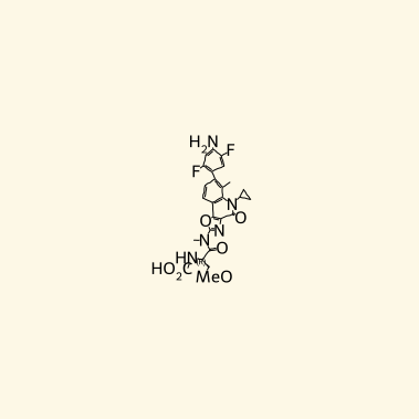 COC[C@@H](NC(=O)O)C(=O)N(C)c1nc2c(=O)n(C3CC3)c3c(C)c(-c4cc(F)c(N)cc4F)ccc3c2o1